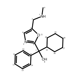 CNCc1cnc(C(O)(c2ccccc2)C2CCCCC2)o1